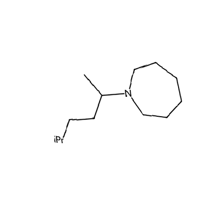 CC(C)CCC(C)N1CCCCCC1